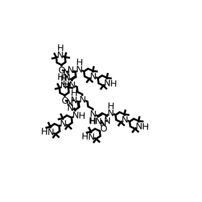 CC1(C)CC(ON2N=C(NC3CC(C)(C)N(C4CC(C)(C)NC(C)(C)C4)C(C)(C)C3)C=C(NCCCN(CCCNC3=CC(NC4CC(C)(C)N(C5CC(C)(C)NC(C)(C)C5)C(C)(C)C4)=NN(OC4CC(C)(C)NC(C)(C)C4)N3)C3=CC(NC4CC(C)(C)N(C5CC(C)(C)NC(C)(C)C5)C(C)(C)C4)=NN(OC4CC(C)(C)NC(C)(C)C4)N3)N2)CC(C)(C)N1